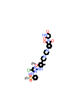 Cc1cc(Nc2ncc(Cl)c(Nc3ccccc3S(=O)(=O)C(C)C)n2)c(OC(C)C)cc1C1CCN(C2CCN(c3ccc4c(c3)C(=O)N(C3CCC(=O)NC3=O)C4=O)CC2)CC1